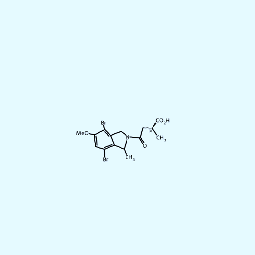 COc1cc(Br)c2c(c1Br)CN(C(=O)C[C@H](C)C(=O)O)C2C